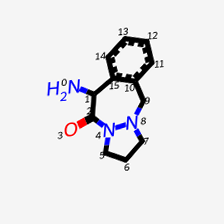 NC1C(=O)N2CCCN2Cc2ccccc21